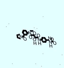 O=C(Nc1ccc(-c2noc(=O)[nH]2)cc1)[C@H](O)[C@H]1OCCN(c2cccc(C(=O)N3CCCC3)c2)C1=O